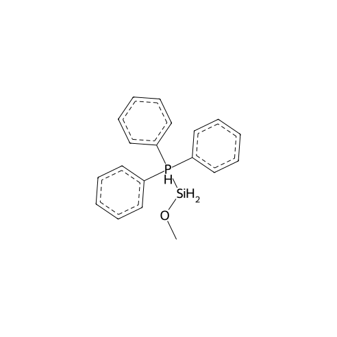 CO[SiH2][PH](c1ccccc1)(c1ccccc1)c1ccccc1